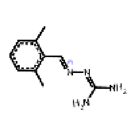 Cc1cccc(C)c1/C=N/N=C(N)N